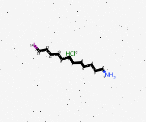 Cl.NCCCCCCCCCCCCI